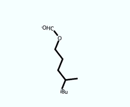 CCC(C)C(C)CCCO[C]=O